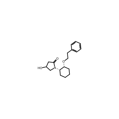 O=C1CC(O)CN1[C@H]1CCCC[C@H]1OCCc1ccccc1